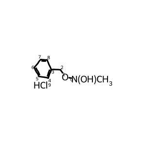 CN(O)OCc1ccccc1.Cl